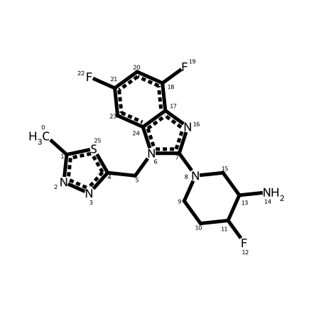 Cc1nnc(Cn2c(N3CCC(F)C(N)C3)nc3c(F)cc(F)cc32)s1